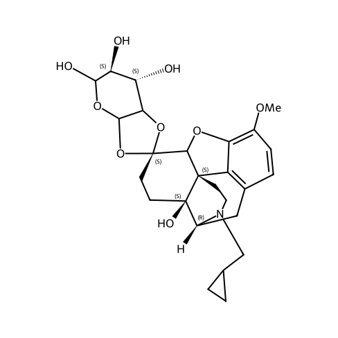 COc1ccc2c3c1OC1[C@]4(CC[C@@]5(O)[C@@H](C2)N(CC2CC2)CC[C@]315)OC1OC(O)[C@@H](O)[C@H](O)C1O4